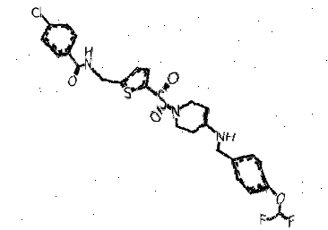 O=C(NCc1ccc(S(=O)(=O)N2CCC(NCc3ccc(OC(F)F)cc3)CC2)s1)c1ccc(Cl)cc1